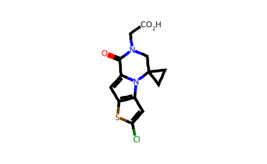 O=C(O)CN1CC2(CC2)n2c(cc3sc(Cl)cc32)C1=O